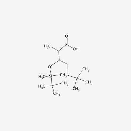 CC(C(=O)O)C(CCC(C)(C)C)O[Si](C)(C)C(C)(C)C